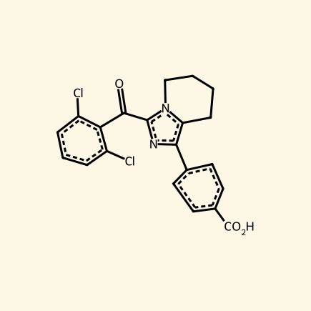 O=C(O)c1ccc(-c2nc(C(=O)c3c(Cl)cccc3Cl)n3c2CCCC3)cc1